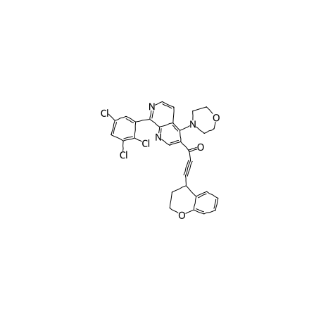 O=C(C#CC1CCOc2ccccc21)c1cnc2c(-c3cc(Cl)cc(Cl)c3Cl)nccc2c1N1CCOCC1